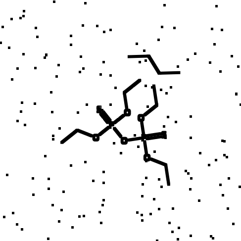 CCCC.CCOP(=S)(OCC)OP(=S)(OCC)OCC